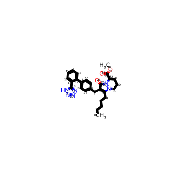 CCCCCc1c(Cc2ccc(-c3ccccc3-c3nnn[nH]3)cc2)c(=O)n2n1CCCC2C(=O)OC